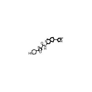 Cn1cc(-c2ccc3cnc(NC(=O)c4coc(C5CCNCC5)n4)cc3c2)cn1